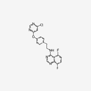 Fc1ccc(F)c2c(NCCc3ccc(Oc4cc(Cl)ncn4)cc3)ncnc12